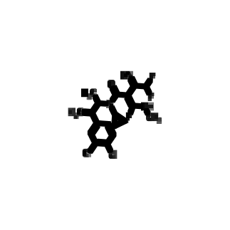 C=C(c1ccc(Cl)c(Cl)c1)C(C)N(C(=O)/C(C(=N)C(F)F)=C(\F)NC)C1CC1